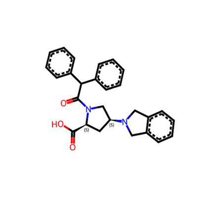 O=C(O)[C@@H]1C[C@H](N2Cc3ccccc3C2)CN1C(=O)C(c1ccccc1)c1ccccc1